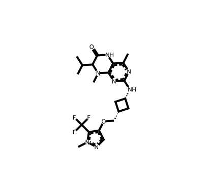 Cc1nc(N[C@H]2C[C@@H](COc3cnn(C)c3C(F)(F)F)C2)nc2c1NC(=O)C(C(C)C)N2C